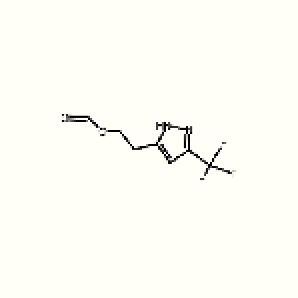 O=COCCc1cc(C(F)(F)F)n[nH]1